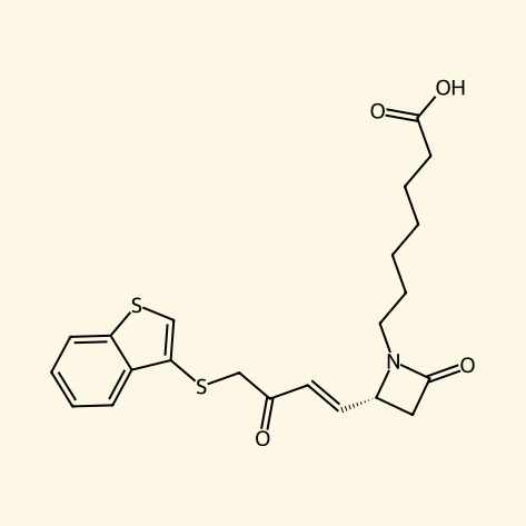 O=C(O)CCCCCCN1C(=O)C[C@@H]1/C=C/C(=O)CSc1csc2ccccc12